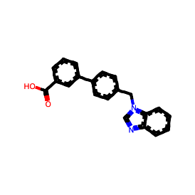 O=C(O)c1cccc(-c2ccc(Cn3cnc4ccccc43)cc2)c1